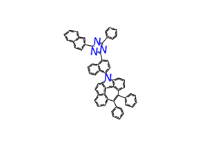 c1ccc(C2=C(c3ccccc3)c3cccc4c3c3c5c2cccc5ccc3n4-c2ccc(-c3nc(-c4ccccc4)nc(-c4ccc5ccccc5c4)n3)c3ccccc23)cc1